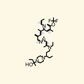 C=C(/C=N\N(C)/C=C(\C)N(CC)CCC(CC)N1CCN(C(C)(O)CC)CC1)/C=C(C)/C(/C=C(/C)C(=C)OC(C)(F)F)=N\C=C/C